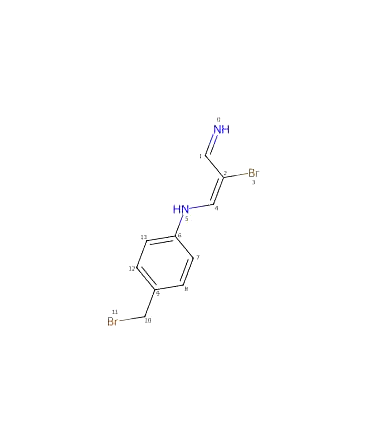 N=C/C(Br)=C\Nc1ccc(CBr)cc1